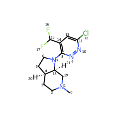 CN1CC[C@H]2CCN(c3nnc(Cl)cc3C(F)F)[C@H]2C1